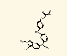 Cc1c2ccc(N(C)c3ccnc(Nc4ccc(OCC(=O)NO)cc4)n3)cc2nn1C